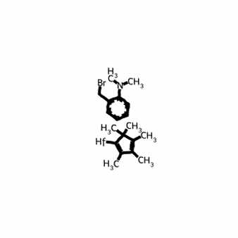 CC1=C(C)C(C)(C)[C]([Hf])=C1C.CN(C)c1ccccc1CBr